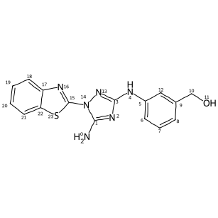 Nc1nc(Nc2cccc(CO)c2)nn1-c1nc2ccccc2s1